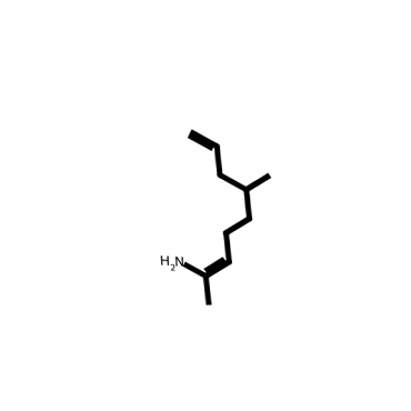 C=CCC(C)CC/C=C(/C)N